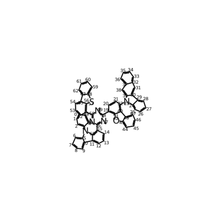 c1ccc(-n2c3ccccc3c3cccc(-c4nc(-c5ccc(-n6c7ccccc7c7cc8ccccc8cc76)c6c5oc5ccccc56)nc(-c5cccc6c5sc5ccccc56)n4)c32)cc1